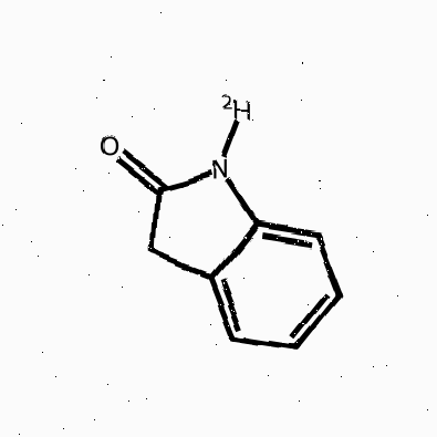 [2H]N1C(=O)Cc2ccccc21